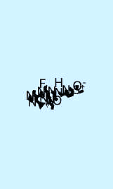 CC[C@@H](C)n1c(=O)c(NCc2ccc([S+]([O-])CC)cn2)nc2c(CF)nc(-c3c(C)ncnc3C3CC3)nc21